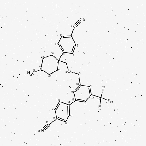 [C-]#[N+]c1ccc(C2(COCc3cc(-c4ccc(C#N)cc4)cc(C(F)(F)F)c3)CCN(C)CC2)cc1